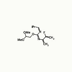 C=C(F)C(=C)/N=C(\N=C/C(C)C)OCC(OC)OC